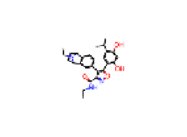 CCNC(=O)c1noc(-c2cc(C(C)C)c(O)cc2O)c1-c1ccc2c(c1)C1CCC2N1CC